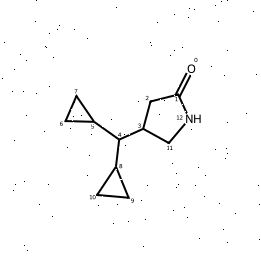 O=C1CC(C(C2CC2)C2CC2)CN1